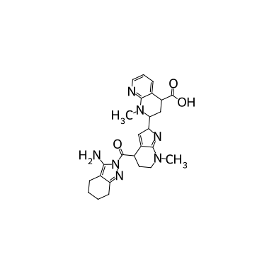 CN1CCC(C(=O)n2nc3c(c2N)CCCC3)C2=CC(C3CC(C(=O)O)c4cccnc4N3C)N=C21